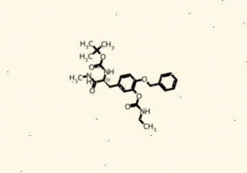 CCNC(=O)Oc1cc(C[C@H](NC(=O)OC(C)(C)C)C(=O)NC)ccc1OCc1ccccc1